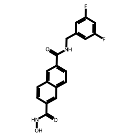 O=C(NO)c1ccc2cc(C(=O)NCc3cc(F)cc(F)c3)ccc2c1